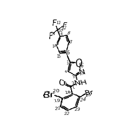 O=C(Nc1cc(-c2ccc(C(F)(F)F)cc2)on1)c1c(Br)cccc1Br